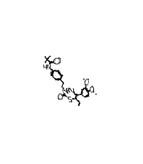 CCC1SC(=O)N(CCc2ccc(NC(=O)C(C)(C)C)cc2)N=C1c1ccc(OC)c(OC)c1